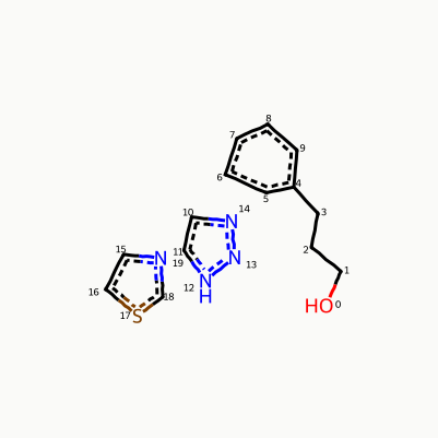 OCCCc1ccccc1.c1c[nH]nn1.c1cscn1